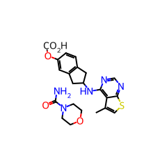 Cc1csc2ncnc(NC3Cc4ccc(OC(=O)O)cc4C3)c12.NC(=O)N1CCOCC1